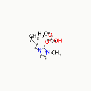 CCCCN1C=CN(C)C1.COC(=O)O